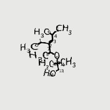 CC/C(=C\C(C)C)C(C)OC(C)(C)CO